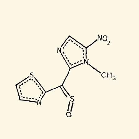 Cn1c([N+](=O)[O-])cnc1C(=S=O)c1nccs1